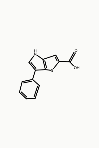 O=C(O)c1cc2[nH]cc(-c3ccccc3)c2s1